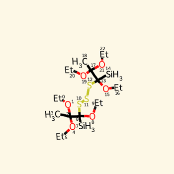 CCOC(C)(OCC)C([SiH3])(OCC)SSSC([SiH3])(OCC)C(C)(OCC)OCC